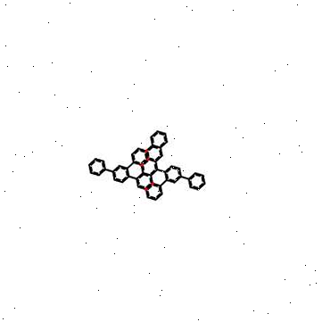 c1ccc(-c2ccc(-c3cccc4c(-c5ccc(-c6ccccc6)cc5-c5ccccc5)c5cc6ccccc6cc5cc34)c(-c3ccccc3)c2)cc1